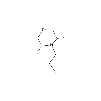 [CH2]CCN1C(C)COCC1C